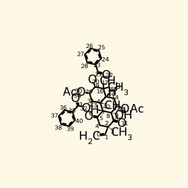 C=C[C@@]1(C)CC(=O)[C@H]2[C@](O)(C1=O)[C@H](OC(C)=O)C[C@H]1C(C)(C)[C@H](OC(=O)c3ccccc3)[C@H](OC(C)=O)[C@H](OC(=O)c3ccccc3)[C@@]12C